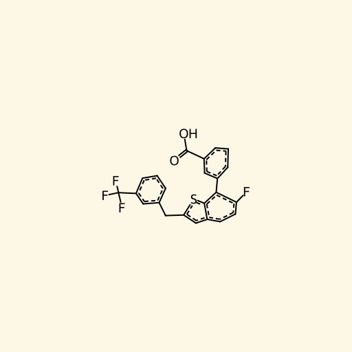 O=C(O)c1cccc(-c2c(F)ccc3cc(Cc4cccc(C(F)(F)F)c4)sc23)c1